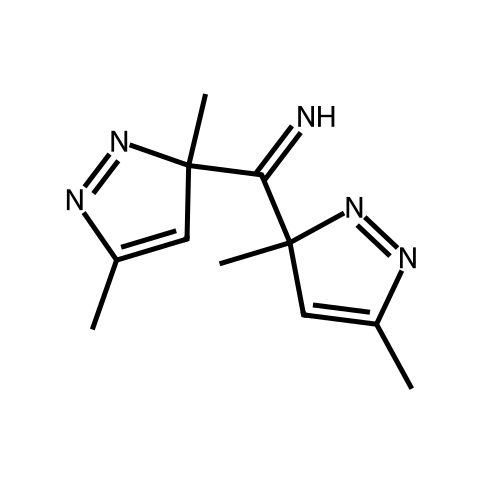 CC1=CC(C)(C(=N)C2(C)C=C(C)N=N2)N=N1